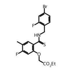 CCOC(=O)COc1cc(F)c(C)cc1C(=S)NCc1ccc(Br)cc1F